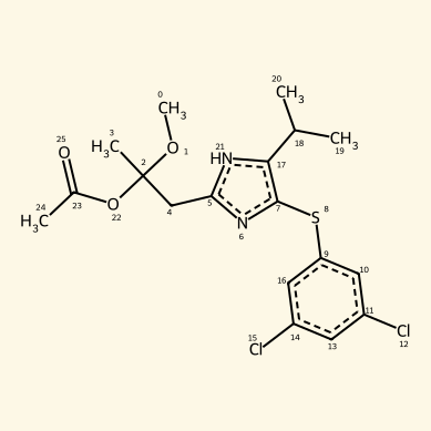 COC(C)(Cc1nc(Sc2cc(Cl)cc(Cl)c2)c(C(C)C)[nH]1)OC(C)=O